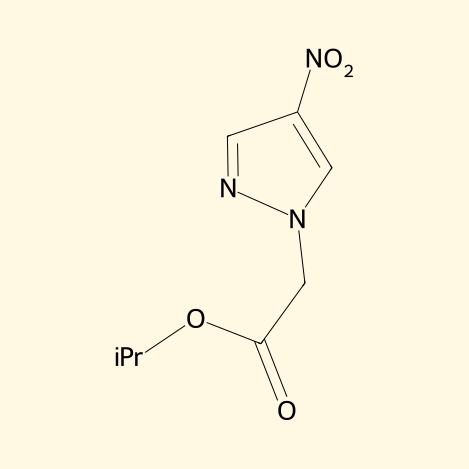 CC(C)OC(=O)Cn1cc([N+](=O)[O-])cn1